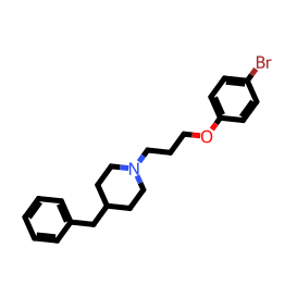 Brc1ccc(OCCCN2CCC(Cc3ccccc3)CC2)cc1